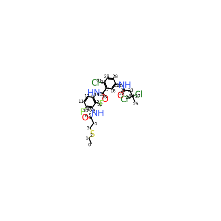 CCSCCC(=O)Nc1c(F)ccc(NC(=O)c2cc(NC(=O)CC(C)(Cl)Cl)ccc2Cl)c1F